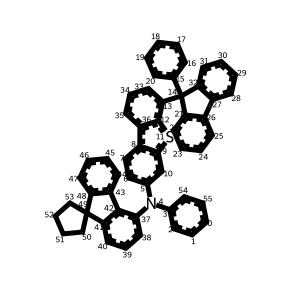 c1ccc(N(c2ccc3c(c2)sc2c(C4(c5ccccc5)c5ccccc5-c5ccccc54)cccc23)c2cccc3c2-c2ccccc2C32CCCC2)cc1